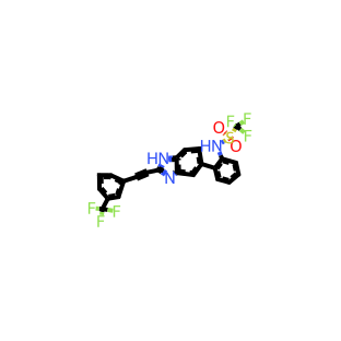 O=S(=O)(Nc1ccccc1-c1ccc2[nH]c(C#Cc3cccc(C(F)(F)F)c3)nc2c1)C(F)(F)F